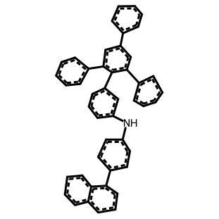 c1ccc(-c2cc(-c3ccccc3)c(-c3cccc(Nc4ccc(-c5cccc6ccccc56)cc4)c3)c(-c3ccccc3)c2)cc1